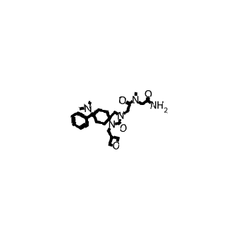 CN(CC(N)=O)C(=O)CN1CC2(CCC(c3ccccc3)(N(C)C)CC2)N(CC2COC2)C1=O